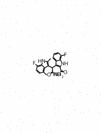 Cc1[nH]c2c(F)ccc(C)c2c1C(C(N)=O)c1c(C(=O)O)[nH]c2c(F)cccc12